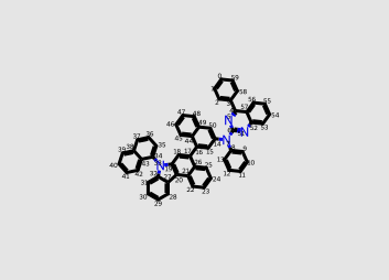 c1ccc(-c2nc(N(c3ccccc3)c3cc(-c4cc5c(c6ccccc46)c4ccccc4n5-c4cccc5ccccc45)c4ccccc4c3)nc3ccccc23)cc1